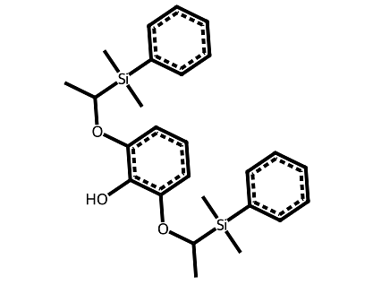 CC(Oc1cccc(OC(C)[Si](C)(C)c2ccccc2)c1O)[Si](C)(C)c1ccccc1